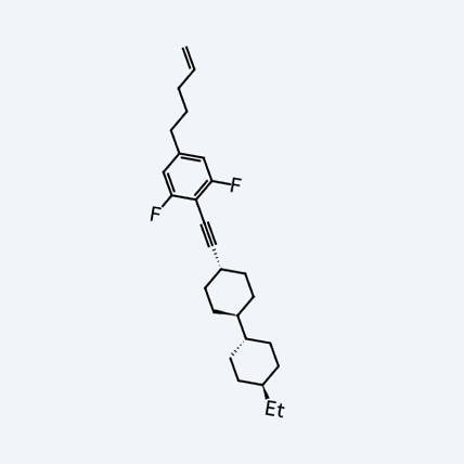 C=CCCCc1cc(F)c(C#C[C@H]2CC[C@H]([C@H]3CC[C@H](CC)CC3)CC2)c(F)c1